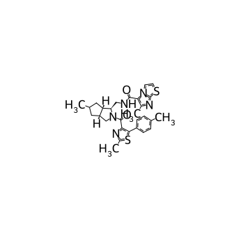 Cc1ccc(-c2sc(C)nc2C(=O)N2C[C@@H]3CC(C)C[C@@H]3[C@H]2CNC(=O)c2c(C)nc3sccn23)cc1